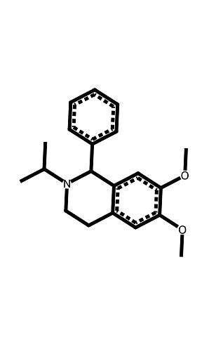 COc1cc2c(cc1OC)C(c1ccccc1)N(C(C)C)CC2